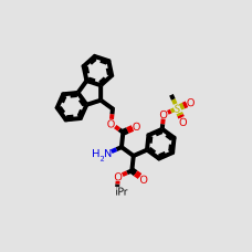 CC(C)OC(=O)C(c1cccc(OS(C)(=O)=O)c1)C(N)C(=O)OCC1c2ccccc2-c2ccccc21